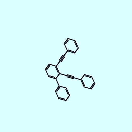 C(#Cc1cccc(-c2ccccc2)c1C#Cc1ccccc1)c1ccccc1